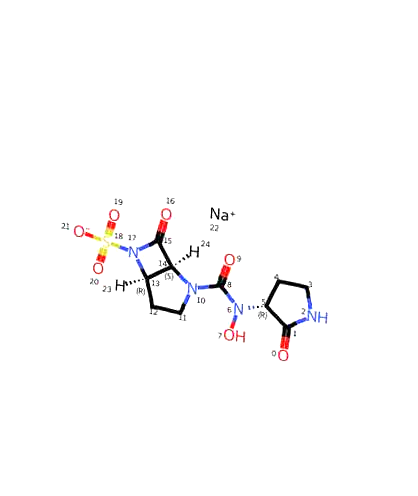 O=C1NCC[C@H]1N(O)C(=O)N1CC[C@@H]2[C@H]1C(=O)N2S(=O)(=O)[O-].[Na+]